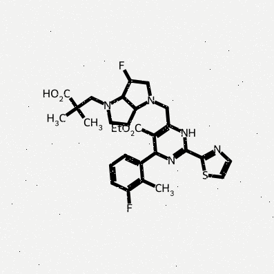 CCOC(=O)C1=C(CN2CC(F)C3C2CCN3CC(C)(C)C(=O)O)NC(c2nccs2)=NC1c1cccc(F)c1C